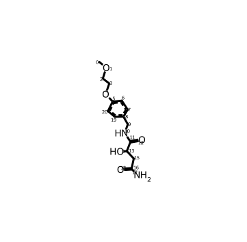 COCCOc1ccc(CNC(=O)C(O)CC(N)=O)cc1